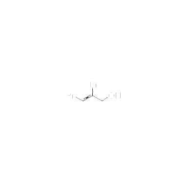 OC/C(Br)=C/Br